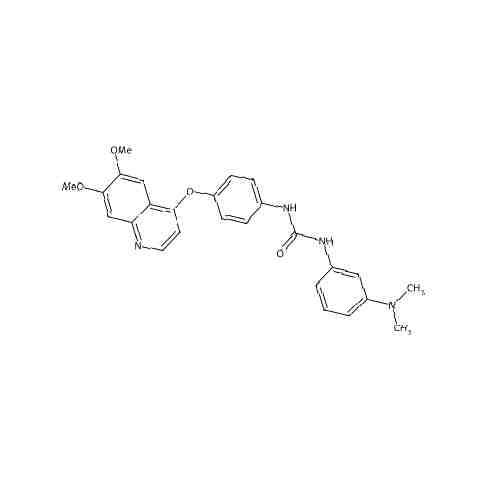 COc1cc2nccc(Oc3ccc(NC(=O)Nc4cccc(N(C)C)c4)cc3)c2cc1OC